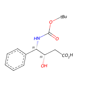 CC(C)(C)OC(=O)N[C@@H](c1ccccc1)[C@@H](O)CC(=O)O